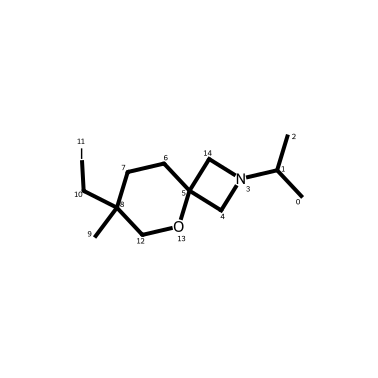 CC(C)N1CC2(CCC(C)(CI)CO2)C1